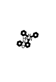 c1ccc(-c2nc(-c3ccccc3)nc(-c3cccc4c3Nc3ccccc3O4)n2)cc1